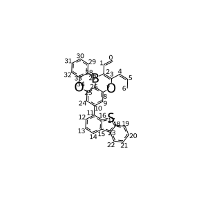 C=CC1=C(/C=C\C)Oc2cc(-c3cccc4c3sc3ccccc34)cc3c2B1c1ccccc1O3